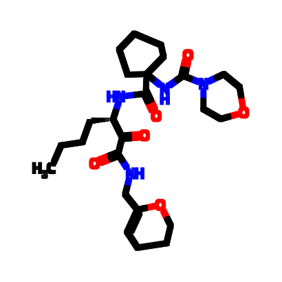 CCCC[C@H](NC(=O)C1(NC(=O)N2CCOCC2)CCCCC1)C(=O)C(=O)NCC1=CCCCO1